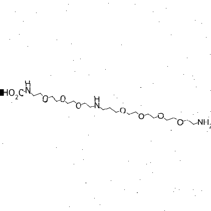 NCCOCCOCCOCCOCCCNCCOCCOCCOCCNC(=O)O